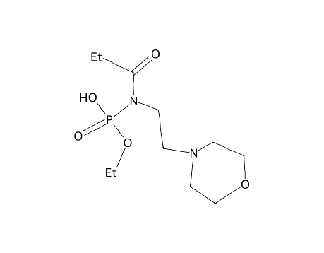 CCOP(=O)(O)N(CCN1CCOCC1)C(=O)CC